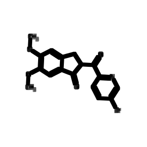 COc1cc2c(cc1OC)C(=O)C(C(=O)c1ccc(Br)cn1)C2